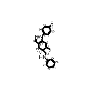 CC1=Cc2c(cnn2-c2ccc(F)cc2)C[C@]1(C)CNc1ccccc1